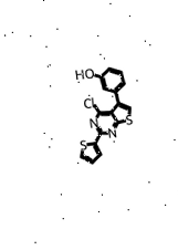 Oc1cccc(-c2csc3nc(-c4cccs4)nc(Cl)c23)c1